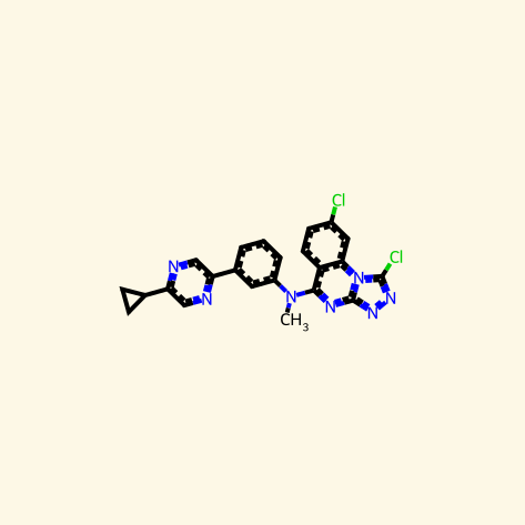 CN(c1cccc(-c2cnc(C3CC3)cn2)c1)c1nc2nnc(Cl)n2c2cc(Cl)ccc12